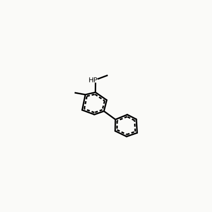 CPc1cc(-c2ccccc2)ccc1C